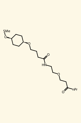 CCCC(=O)CCOCCNC(=O)CCCO[C@H]1CC[C@@H](OSC)CC1